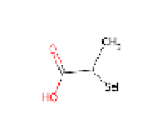 CC([SeH])C(=O)O